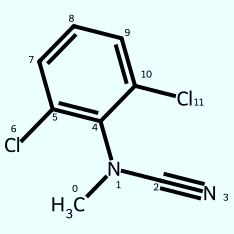 CN(C#N)c1c(Cl)cccc1Cl